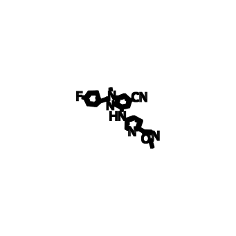 Cc1ncc(-c2ccc(Nc3cc(C#N)cc4c3nc(-c3ccc(F)cc3)n4C)cn2)o1